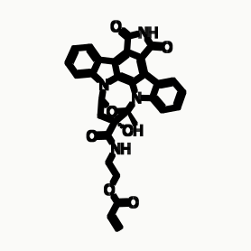 C=CC(=O)OCCNC(=O)[C@@]1(O)CC2O[C@]1(C)n1c3ccccc3c3c4c(c5c6ccccc6n2c5c31)C(=O)NC4=O